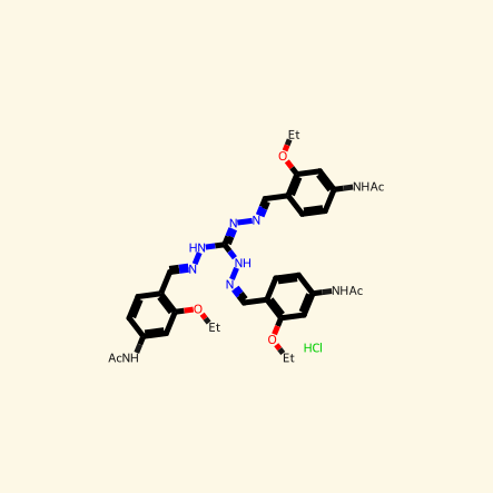 CCOc1cc(NC(C)=O)ccc1C=NN=C(NN=Cc1ccc(NC(C)=O)cc1OCC)NN=Cc1ccc(NC(C)=O)cc1OCC.Cl